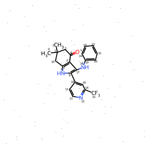 CC1(C)CC(=O)c2c([nH]c(-c3ccnc(C(F)(F)F)c3)c2Nc2ccccc2)C1